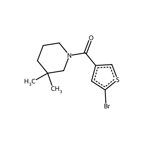 CC1(C)CCCN(C(=O)c2csc(Br)c2)C1